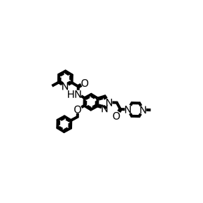 Cc1cccc(C(=O)Nc2cc3cn(CC(=O)N4CCN(C)CC4)nc3cc2OCc2ccccc2)n1